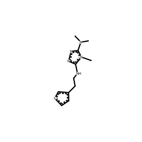 CN(C)c1nnc(NCCc2ccsc2)n1C